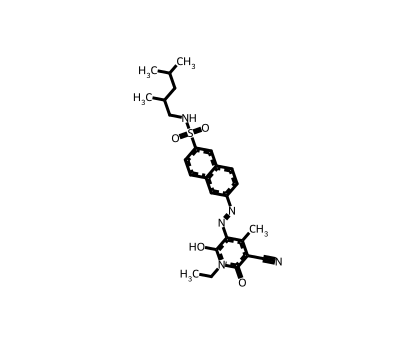 CCn1c(O)c(N=Nc2ccc3cc(S(=O)(=O)NCC(C)CC(C)C)ccc3c2)c(C)c(C#N)c1=O